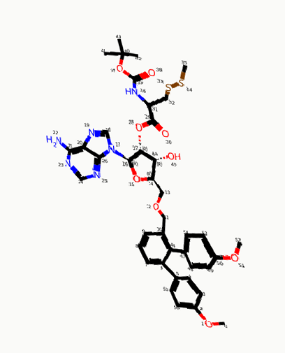 COc1ccc(-c2cccc(COC[C@H]3O[C@@H](n4cnc5c(N)ncnc54)[C@H](OC(=O)C(CSSC)NC(=O)OC(C)(C)C)[C@@H]3O)c2-c2ccc(OC)cc2)cc1